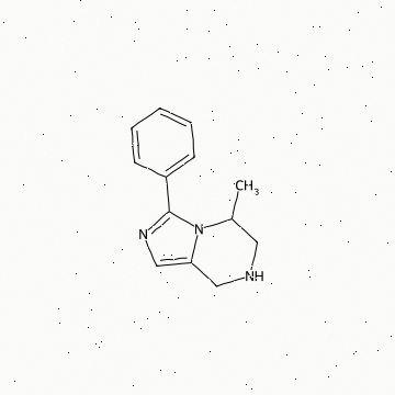 CC1CNCc2cnc(-c3ccccc3)n21